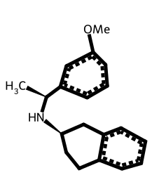 COc1cccc([C@H](C)N[C@@H]2CCc3ccccc3C2)c1